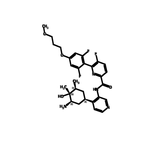 COCCCOc1cc(F)c(-c2nc(C(=O)Nc3cnccc3[C@H]3C[C@@H](N)[C@](C)(O)[C@@H](C)C3)ccc2F)c(F)c1